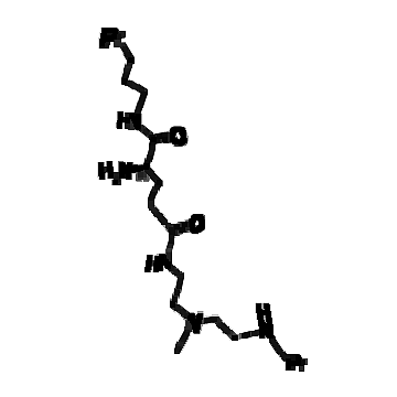 CC(C)CCCNC(=O)[C@H](N)CCC(=O)NCCN(C)CCNC(C)C